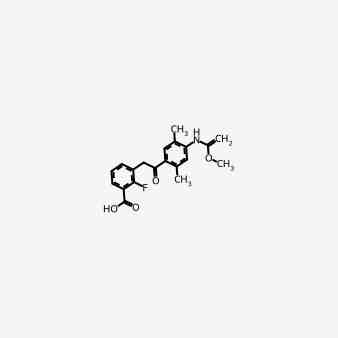 C=C(Nc1cc(C)c(C(=O)Cc2cccc(C(=O)O)c2F)cc1C)OC